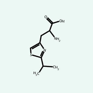 CC(C)c1nc(CC(N)C(=O)O)cs1